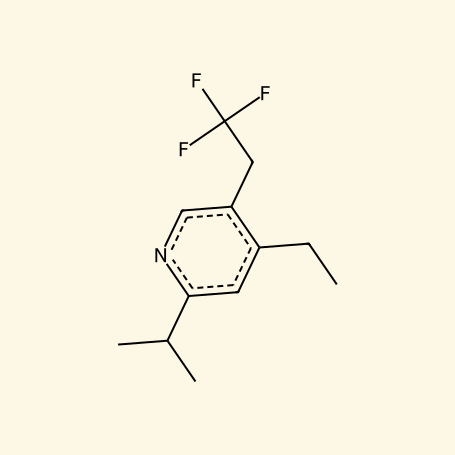 CCc1cc(C(C)C)ncc1CC(F)(F)F